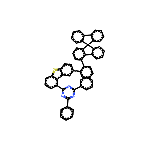 c1ccc(-c2nc(-c3ccccc3)nc(-c3cccc4sc5ccc(-c6ccccc6-c6cccc7c6-c6ccccc6C76c7ccccc7-c7ccccc76)cc5c34)n2)cc1